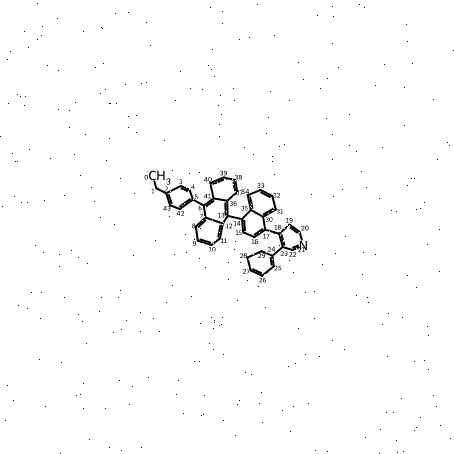 CCc1ccc(-c2c3ccccc3c(-c3ccc(-c4ccncc4C4=CC=CCC4)c4ccccc34)c3ccccc23)cc1